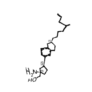 CCCC(C)CCCC[C@H]1CCc2cc([C@H]3CC[C@](N)(CO)C3)ccc2C1